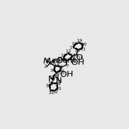 CCCCCC(C)(C)c1cc(Cc2c(OC)ccc(C(=O)c3ccccc3)c2O)c(O)c(-n2nc3ccccc3n2)c1